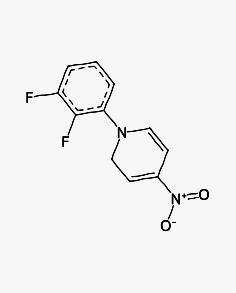 O=[N+]([O-])C1=CCN(c2cccc(F)c2F)C=C1